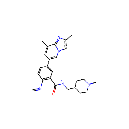 C=Nc1ccc(-c2cc(C)c3nc(C)cn3c2)cc1C(=O)NCC1CCN(C)CC1